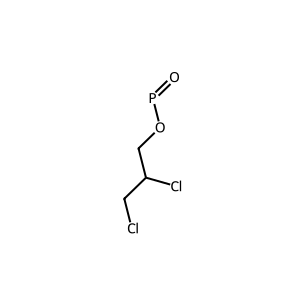 O=POCC(Cl)CCl